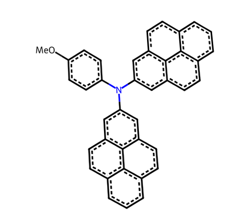 COc1ccc(N(c2cc3ccc4cccc5ccc(c2)c3c45)c2cc3ccc4cccc5ccc(c2)c3c45)cc1